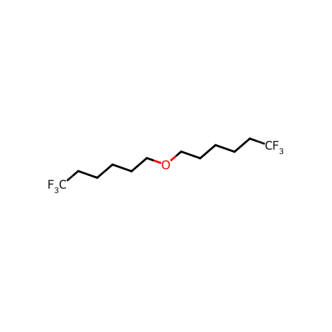 FC(F)(F)CCCCCOCCCCCC(F)(F)F